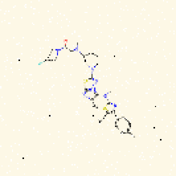 CCc1nc2sc(N3CCCC(N(C)CC(=O)N4CC(F)C4)C3)nn2c1N(C)c1nc(-c2ccc(C)cc2)c(C#N)s1